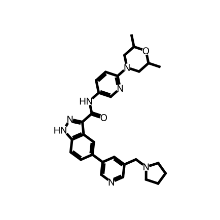 CC1CN(c2ccc(NC(=O)c3n[nH]c4ccc(-c5cncc(CN6CCCC6)c5)cc34)cn2)CC(C)O1